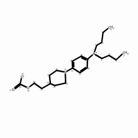 CCCCN(CCCC)c1ccc(N2CCC(CCOC(=O)Cl)CC2)cc1